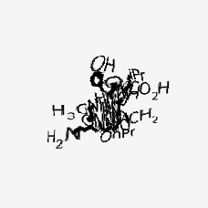 C=CC[C@H](NC(=O)[C@H](CCC)NC(=O)[C@H](CCCCN)NC(=O)[C@H](C)N)C(=O)N[C@@H](Cc1ccc(O)cc1)C(=O)N[C@@H](CC(C)C)C(=O)O